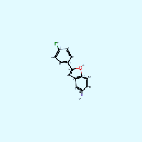 Fc1ccc(-c2cc3cc(I)ccc3o2)cc1